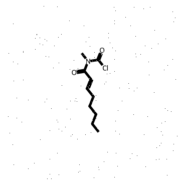 CCCCCC=CC(=O)N(C)C(=O)Cl